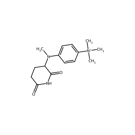 CN(c1ccc([N+](C)(C)C)cc1)C1CCC(=O)NC1=O